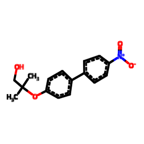 CC(C)(CO)Oc1ccc(-c2ccc([N+](=O)[O-])cc2)cc1